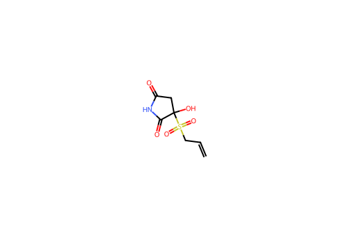 C=CCS(=O)(=O)C1(O)CC(=O)NC1=O